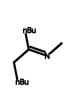 CCCCCC(CCCC)=NC